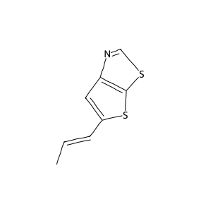 C/C=C/c1cc2ncsc2s1